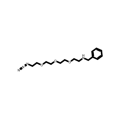 [N-]=[N+]=NCCOCCOCCOCCNCc1ccccc1